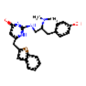 CN(C)C(CNc1nc(=O)cc(Cc2cc3ccccc3s2)[nH]1)Cc1ccc(O)cc1